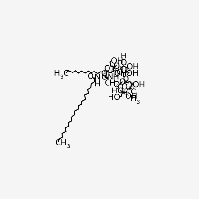 CCCCCCCCCCCCCCCCCCCCCCCC(=O)NC(CCCCCCCCCC)CO[C@@H]1OC(CO)[C@@H](O[C@@H]2OC(CO[C@]3(OC=O)C[C@@H](O)[C@@H](C)C([C@H](O)[C@H](O)CO)O3)[C@H](O)[C@H](O)C2O)[C@H](O)C1NC(C)=O